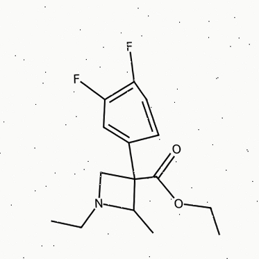 CCOC(=O)C1(c2ccc(F)c(F)c2)CN(CC)C1C